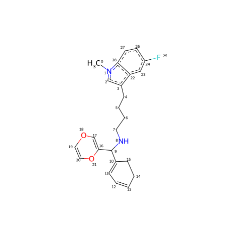 Cn1cc(CCCCNC(C2=CC=CCC2)C2=COC=CO2)c2cc(F)ccc21